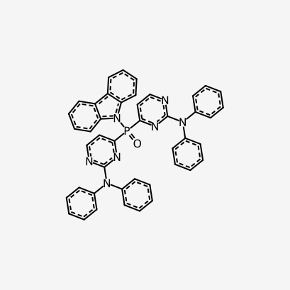 O=P(c1ccnc(N(c2ccccc2)c2ccccc2)n1)(c1ccnc(N(c2ccccc2)c2ccccc2)n1)n1c2ccccc2c2ccccc21